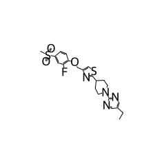 CCc1cnc(N2CCC(c3nc(COc4ccc(S(C)(=O)=O)cc4F)cs3)CC2)nc1